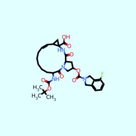 CC(C)(C)OC(=O)NC1CCCCCC=CC2CC2(C(=O)O)NC(=O)C2CC(OC(=O)N3Cc4cccc(F)c4C3)CN2C1=O